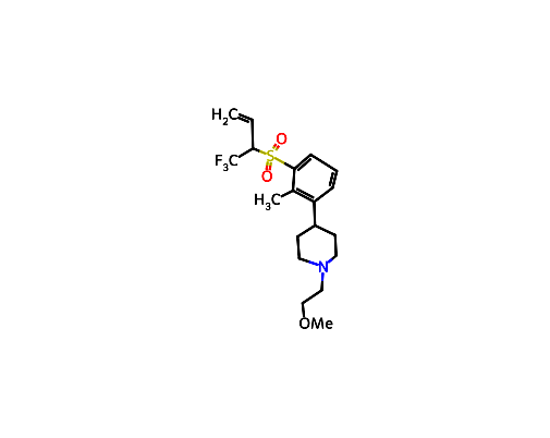 C=CC(C(F)(F)F)S(=O)(=O)c1cccc(C2CCN(CCOC)CC2)c1C